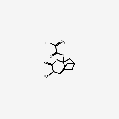 C=C(C)C(=O)OC12CC3CC(C(C)C(=O)O1)C2C3